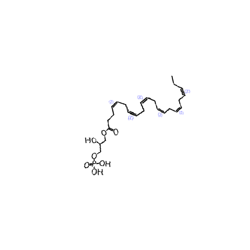 CC/C=C\C/C=C\C/C=C\C/C=C\C/C=C\C/C=C\CCC(=O)OCC(O)COP(=O)(O)O